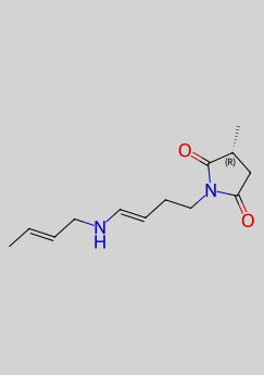 CC=CCNC=CCCN1C(=O)C[C@@H](C)C1=O